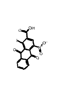 O=C(O)c1cc([N+](=O)[O-])c2c(c1I)C(=O)c1ccccc1C2=O